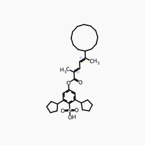 C/C(=C\C=C(/C)C1CCCCCCCCCCC1)C(=O)Oc1cc(C2CCCC2)c(S(=O)(=O)O)c(C2CCCC2)c1